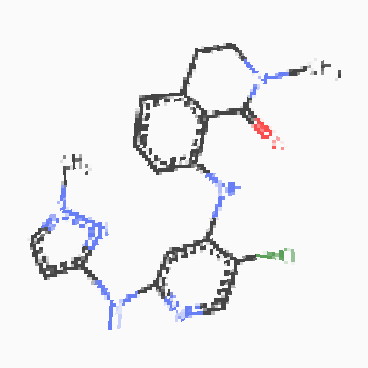 CN1CCc2cccc(Nc3cc(Nc4ccn(C)n4)ncc3Cl)c2C1=O